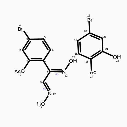 CC(=O)Oc1cc(Br)ccc1C(/C=N/O)=N\O.CC(=O)c1ccc(Br)cc1O